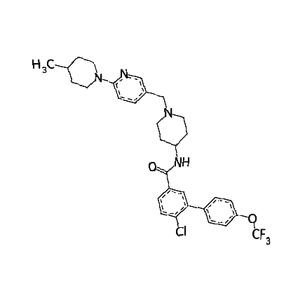 CC1CCN(c2ccc(CN3CCC(NC(=O)c4ccc(Cl)c(-c5ccc(OC(F)(F)F)cc5)c4)CC3)cn2)CC1